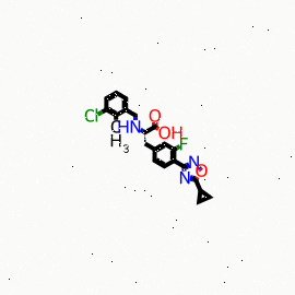 Cc1c(Cl)cccc1CN[C@@H](Cc1ccc(-c2noc(C3CC3)n2)c(F)c1)C(=O)O